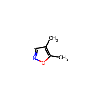 Cc1[c]noc1C